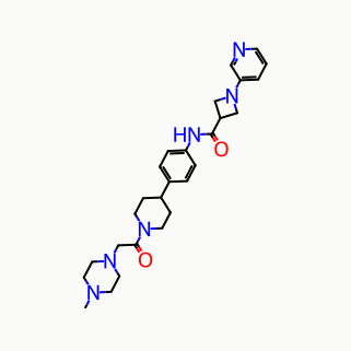 CN1CCN(CC(=O)N2CCC(c3ccc(NC(=O)C4CN(c5cccnc5)C4)cc3)CC2)CC1